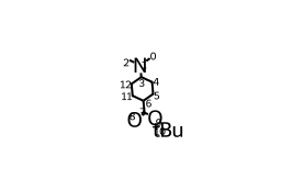 CN(C)C1CCC(C(=O)OC(C)(C)C)CC1